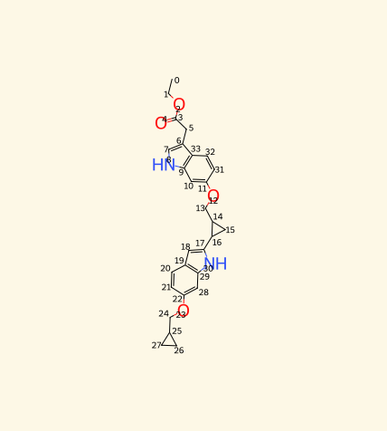 CCOC(=O)Cc1c[nH]c2cc(OCC3CC3c3cc4ccc(OCC5CC5)cc4[nH]3)ccc12